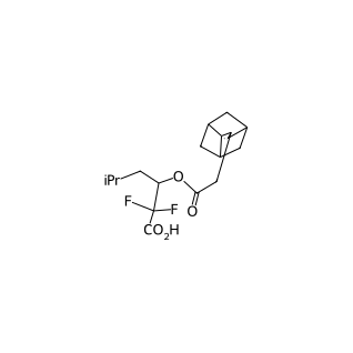 CC(C)CC(OC(=O)CC1=C2C3CC(C1)CC2C3)C(F)(F)C(=O)O